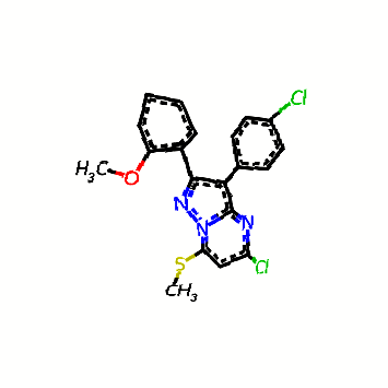 COc1ccccc1-c1nn2c(SC)cc(Cl)nc2c1-c1ccc(Cl)cc1